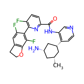 C[C@@H]1C[C@H](N)C[C@H](c2ccncc2NC(=O)c2ccc(F)c(-c3c(F)cc4c(c3F)OCC4)n2)C1